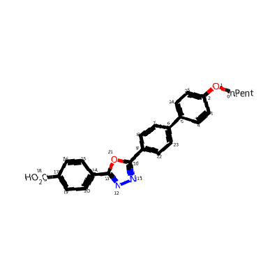 CCCCCOc1ccc(-c2ccc(-c3nnc(-c4ccc(C(=O)O)cc4)o3)cc2)cc1